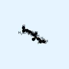 CC1(C)CCC(c2ccc(Cl)cc2)=C(CN2CCN(c3ccc(C(=O)NS(=O)(=O)c4ccc(N[C@H](CCN5CCN(Cc6cc(F)cnc6NC6CCC(=O)NC6=O)CC5)CSc5ccccc5)c(S(=O)(=O)C(F)(F)F)c4)cc3)CC2)C1